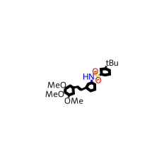 COc1cc(C=Cc2cccc(NS(=O)(=O)c3cccc(C(C)(C)C)c3)c2)cc(OC)c1OC